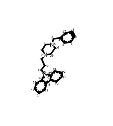 c1ccc(CN2CCN(CCCn3c4ccccc4c4ccccc43)CC2)cc#1